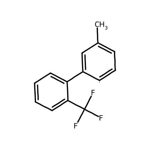 Cc1cc[c]c(-c2ccccc2C(F)(F)F)c1